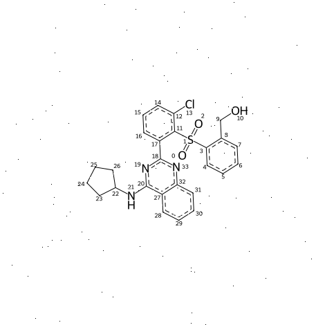 O=S(=O)(c1ccccc1CO)c1c(Cl)cccc1-c1nc(NC2CCCC2)c2ccccc2n1